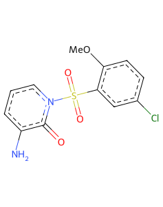 COc1ccc(Cl)cc1S(=O)(=O)n1cccc(N)c1=O